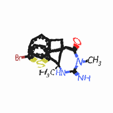 CN1C(=N)N[C@](C)(c2ccc(Br)s2)C2(Cc3ccccc32)C1=O